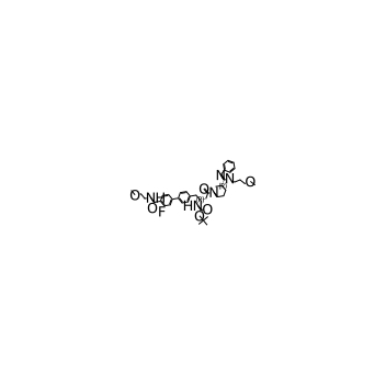 COCCCn1c([C@@H]2CCCN(C(=O)C[C@@H](Cc3ccc(-c4ccc(C(=O)NCCOC)c(F)c4)cc3)NC(=O)OC(C)(C)C)C2)nc2ccccc21